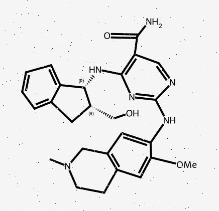 COc1cc2c(cc1Nc1ncc(C(N)=O)c(N[C@H]3c4ccccc4C[C@H]3CO)n1)CN(C)CC2